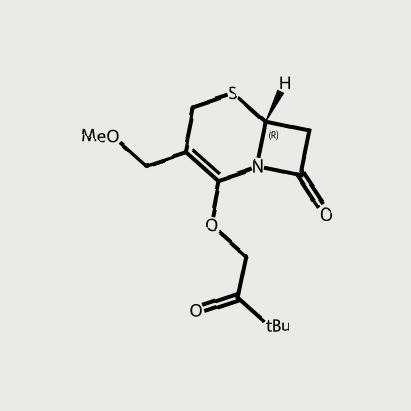 COCC1=C(OCC(=O)C(C)(C)C)N2C(=O)C[C@H]2SC1